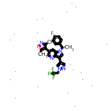 Cc1noc(C)c1-c1cnc2c(-c3cnn(CC(F)(F)F)c3)cn([C@@H](C)c3ccc(F)cc3)c2c1